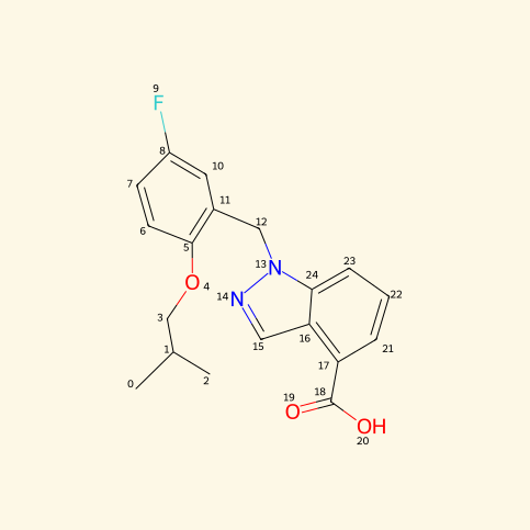 CC(C)COc1ccc(F)cc1Cn1ncc2c(C(=O)O)cccc21